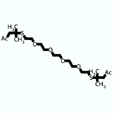 CC(=O)CC(C)(C)SCCOCCOCCOCCOCCSC(C)(C)CC(C)=O